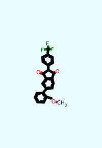 COCc1ccccc1-c1ccc2c(c1)C(=O)C(c1ccc(C(F)(F)F)cc1)C2=O